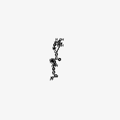 C=C(CCC1=C(CN2CCN(c3ccc(C(=O)NS(=O)(=O)c4ccc(N[C@H](CCN5CCN(C(=O)CCCCCC(=O)NC(C(=O)N6C[C@H](O)C[C@H]6C(=O)N[C@@H](C)c6ccc(-c7scnc7C)cc6)C(C)(C)C)CC5)CSc5ccccc5)c(S(=O)(=O)C(F)(F)F)c4)cc3)CC2)CCC(C)(C)C1)C(F)F